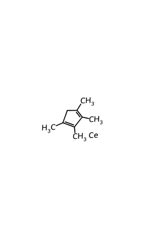 CC1=C(C)C(C)=C(C)C1.[Ce]